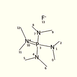 CN(C)P(N(C)C)(N(C)C)=[N+](C)C.[F-]